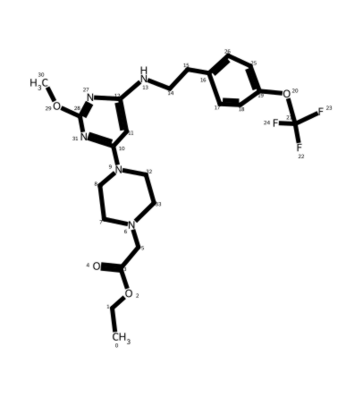 CCOC(=O)CN1CCN(c2cc(NCCc3ccc(OC(F)(F)F)cc3)nc(OC)n2)CC1